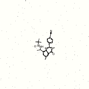 Cc1cc(C(C)N[S@+]([O-])C(C)(C)C)c2nc(-c3ccc(C#N)cc3)n(C)c(=O)c2c1